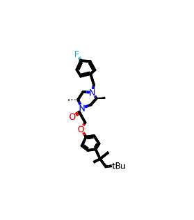 C[C@@H]1CN(Cc2ccc(F)cc2)[C@@H](C)CN1C(=O)COc1ccc(C(C)(C)CC(C)(C)C)cc1